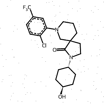 O=C1N([C@H]2CC[C@H](O)CC2)CCC12CCCN(c1cc(C(F)(F)F)ccc1Cl)C2